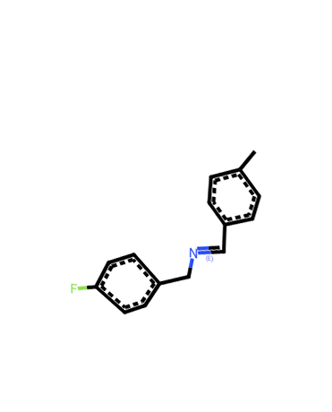 Cc1ccc(/C=N/Cc2ccc(F)cc2)cc1